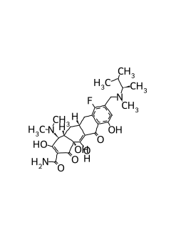 CC(C)[C@@H](C)N(C)Cc1cc(O)c2c(c1F)C[C@H]1C[C@H]3[C@H](N(C)C)C(O)=C(C(N)=O)C(=O)[C@@]3(O)C(O)=C1C2=O